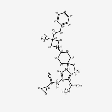 N#CC[C@]1(n2cc(C(N)=O)c(NC(=O)C3CC3)n2)CC[C@H](N2CC(OCc3ccccc3)(C(F)(F)F)C2)CC1